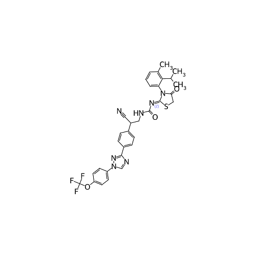 Cc1cccc(N2C(=O)CS/C2=N\C(=O)NCC(C#N)c2ccc(-c3ncn(-c4ccc(OC(F)(F)F)cc4)n3)cc2)c1C(C)C